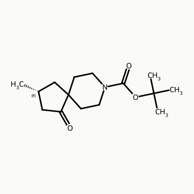 C[C@H]1CC(=O)C2(CCN(C(=O)OC(C)(C)C)CC2)C1